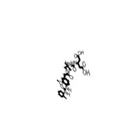 COc1cc(CC(=O)N2CC(C)(NC(=O)NC(CC(=O)O)CC(=O)O)C2)ccc1NC(=O)Nc1ccccc1C